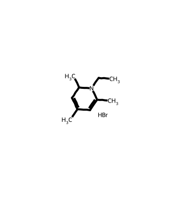 Br.CCN1C(C)=CC(C)=CC1C